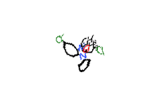 CN(C)C1CC(Cl)CCCC1N(C(=O)CCCl)c1ccccc1